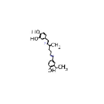 C=C(/C=C/c1ccc(O)c(O)c1)CC/C=C/c1ccc(O)c(CC)c1